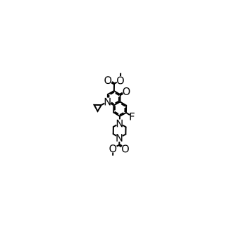 COC(=O)c1cn(C2CC2)c2cc(N3CCN(C(=O)OC)CC3)c(F)cc2c1=O